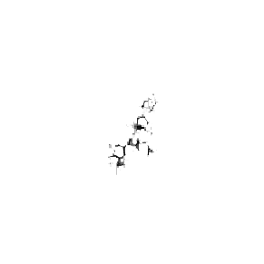 Cc1ncc(-c2cn([C@H]3[C@@H]4CC(N5CCN(C)CC5)C[C@@H]43)c(CC3CC3)n2)cc1C(F)(F)F